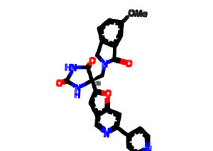 COc1ccc2c(c1)C(=O)N(C[C@@]1(c3cc4cnc(-c5ccncc5)cc4o3)NC(=O)NC1=O)C2